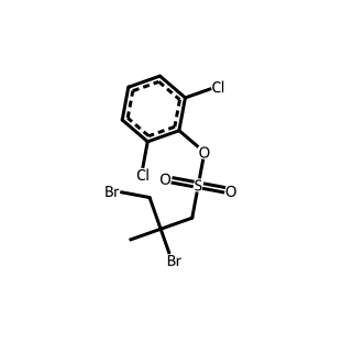 CC(Br)(CBr)CS(=O)(=O)Oc1c(Cl)cccc1Cl